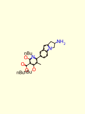 CCCCOC(=O)c1c(OCCCC)nc(-c2ccc3c(c2)cc2n3CC(N)C2)c(C)c1OCCCC